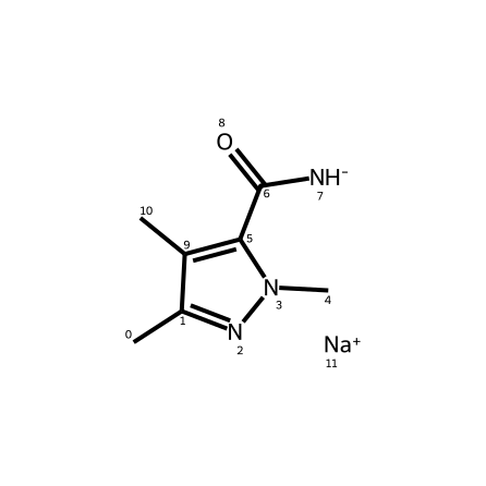 Cc1nn(C)c(C([NH-])=O)c1C.[Na+]